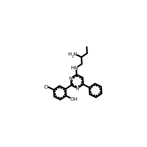 CCC(N)CNc1cc(-c2ccccc2)nc(-c2cc(Cl)ccc2O)n1